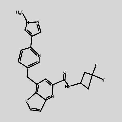 Cn1cc(-c2ccc(Cc3cc(C(=O)NC4CC(F)(F)C4)nc4ccsc34)cn2)cn1